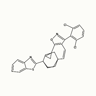 Clc1cccc(Cl)c1-c1noc(C2CC2)c1/C=C\C12CCC(c3nc4ccccc4s3)(CC1)CC2